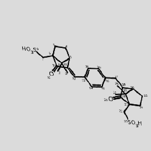 CC1(C)C2CCC1(CS(=O)(=O)O)C(=O)/C2=C/c1ccc(CC2C(=O)C3(CS(=O)(=O)O)CCC2C3(C)C)cc1